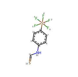 FS(F)(F)(F)(F)c1ccc(NC=S)cc1